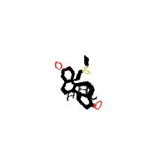 C#CSCC[C@]12CCC(=O)C=C1CC[C@@H]1C2=CC[C@]2(C)C(=O)CC[C@@H]12